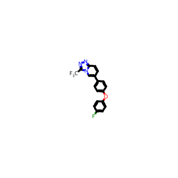 Fc1ccc(Oc2ccc(-c3ccc4nnc(C(F)(F)F)n4c3)cc2)cc1